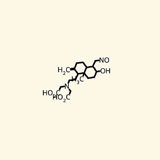 C=C1CCC2C(CN=O)C(O)CCC2(C)C1CCN(CC(=O)O)CC(=O)O